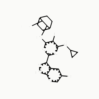 O=C(O)C1C2CCC(CC2)C1Nc1nc(-c2n[nH]c3ncc(Cl)cc23)nc(NC2CC2)c1F